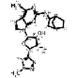 Cn1nnc([C@H]2O[C@@H](n3cnc4c(N)nc(NC5CC6CCC5C6)nc43)[C@H](O)[C@@H]2O)n1